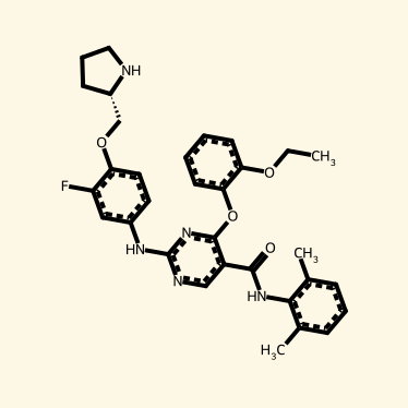 CCOc1ccccc1Oc1nc(Nc2ccc(OC[C@@H]3CCCN3)c(F)c2)ncc1C(=O)Nc1c(C)cccc1C